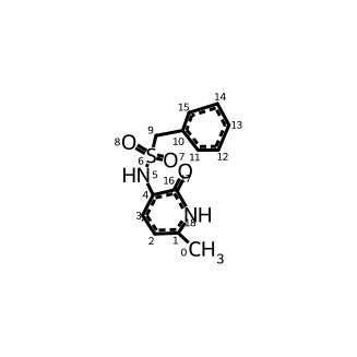 Cc1c[c]c(NS(=O)(=O)Cc2ccccc2)c(=O)[nH]1